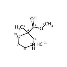 COC(=O)C1(C)CNCCO1.Cl